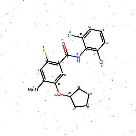 COc1cc(F)c(C(=O)Nc2c(Cl)cccc2Cl)cc1OC1CCCC1